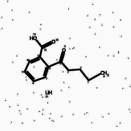 CCCCC(=O)c1ccccc1C(=O)O.[LiH]